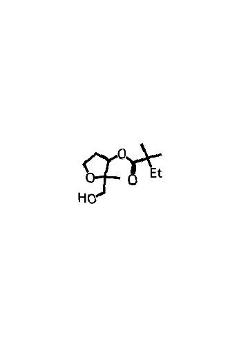 CCC(C)(C)C(=O)OC1CCOC1(C)CO